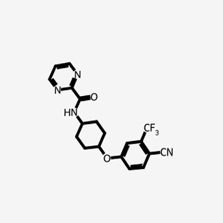 N#Cc1ccc(OC2CCC(NC(=O)c3ncccn3)CC2)cc1C(F)(F)F